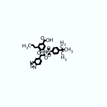 CCCc1cc(C(=O)O)ccc1OC(C(=O)NS(=O)(=O)c1ccc(C(C)(C)C)cc1)c1ccc2nsnc2c1